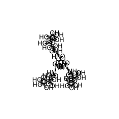 O=C(NCCNC(=O)[C@H](O)[C@@H](O)[C@H](O[C@@H]1O[C@H](CO)[C@H](O)[C@H](O)[C@H]1O)[C@H](O)CO)c1c(I)c(C(=O)NCCNC(=O)[C@H](O)[C@@H](O)[C@H](O[C@@H]2O[C@H](CO)[C@H](O)[C@H](O)[C@H]2O)[C@H](O)CO)c(I)c(C(=O)NCCNC(=O)[C@H](O)[C@@H](O)[C@H](O[C@@H]2C[C@H](CO)[C@H](O)[C@H](O)[C@H]2O)[C@H](O)CO)c1I